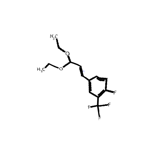 CCOC(/C=C/c1ccc(F)c(C(F)(F)F)c1)OCC